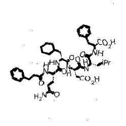 CC(C)C[C@H](NC(=O)[C@H](CC(=O)O)NC(=O)[C@H](CC1CCCCC1)NC(=O)[C@H](CCC(N)=O)NC(=O)CCc1ccccc1)C(=O)N[C@@H](Cc1ccccc1)C(=O)O